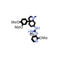 COc1ccc(C23CCC(N/C(=N/c4cccnc4OC)NC#N)CC2N(C)CC3)cc1OC